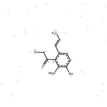 CC=Cc1ccc(O)c(OC)c1C(=O)CCl